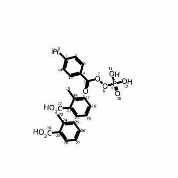 CC(C)c1ccc(C(=O)OOP(=O)(O)O)cc1.Cc1ccccc1C(=O)O.Cc1ccccc1C(=O)O